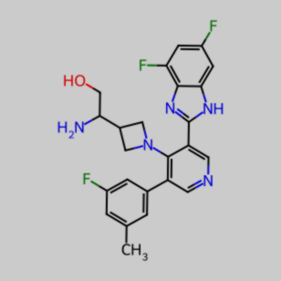 Cc1cc(F)cc(-c2cncc(-c3nc4c(F)cc(F)cc4[nH]3)c2N2CC(C(N)CO)C2)c1